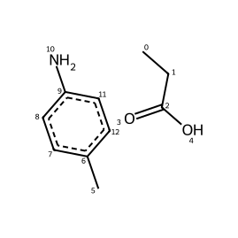 CCC(=O)O.Cc1ccc(N)cc1